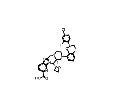 O=C(O)c1ccc2nc3n(c2n1)C([C@@H]1CCO1)[C@H]1CN(c2cccc4c2O[C@@H](c2ccc(Cl)cc2F)CO4)CCN1C3